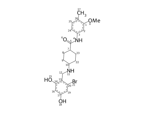 COc1cc(NC(=O)C2CCC(NCc3c(O)cc(O)cc3Br)CC2)ccc1C